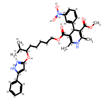 COC(=O)C1=C(C)NC(C)=C(C(=O)OCCCCCC(Oc2cc(-c3ccccc3)[nH]n2)C(C)C)C1c1cccc([N+](=O)[O-])c1